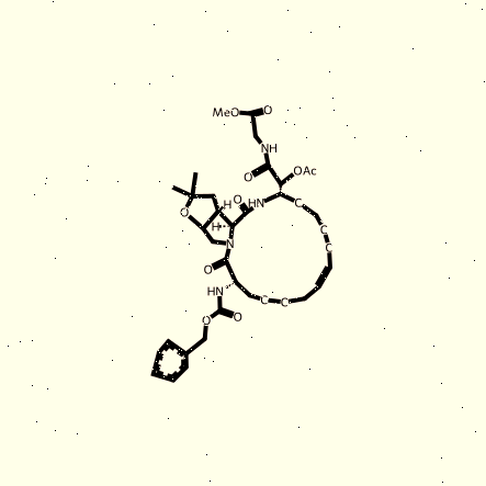 COC(=O)CNC(=O)C(OC(C)=O)[C@@H]1CCCCC=CCCCC[C@H](NC(=O)OCc2ccccc2)C(=O)N2CC3OC(C)(C)C[C@@H]3[C@H]2C(=O)N1